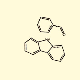 O=Cc1ccccc1.c1ccc2c(c1)[nH]c1ccccc12